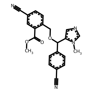 COC(=O)c1cc(C#N)ccc1COC(c1ccc(C#N)cc1)c1cncn1C